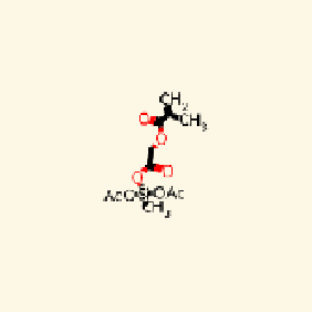 C=C(C)C(=O)OCC(=O)O[Si](C)(OC(C)=O)OC(C)=O